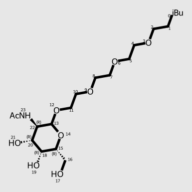 CCC(C)CCOCCOCCOCCOC1O[C@H](CO)[C@H](O)[C@H](O)[C@H]1NC(C)=O